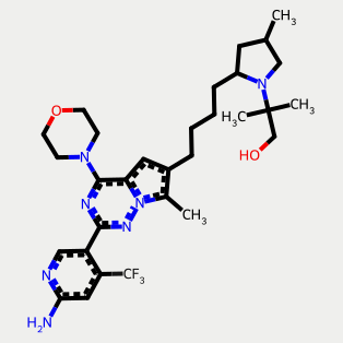 Cc1c(CCCCC2CC(C)CN2C(C)(C)CO)cc2c(N3CCOCC3)nc(-c3cnc(N)cc3C(F)(F)F)nn12